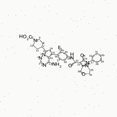 Nc1ncnn2c(C3CCN(C(=O)O)CC3)cc(-c3ccc(NC(=O)c4c5n(n(-c6ccccc6)c4=O)CCOC5)cc3F)c12